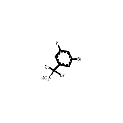 CCC(CC)(C(=O)O)c1cc(F)cc(Br)c1